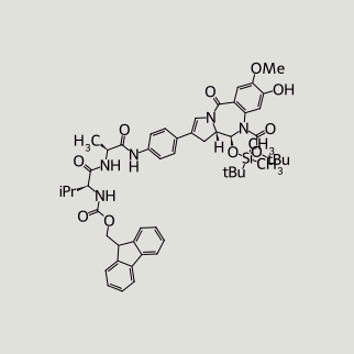 COc1cc2c(cc1O)N(C(=O)OC(C)(C)C)[C@@H](O[Si](C)(C)C(C)(C)C)[C@@H]1CC(c3ccc(NC(=O)[C@H](C)NC(=O)[C@@H](NC(=O)OCC4c5ccccc5-c5ccccc54)C(C)C)cc3)=CN1C2=O